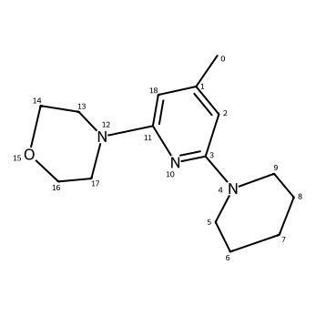 Cc1cc(N2CCCCC2)nc(N2CCOCC2)c1